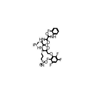 CC(C)C[C@H](NC(=O)C(=O)Nc1ccccc1F)C(=O)N[C@@H](CCC[SH](=O)=O)C(=O)COc1c(F)c(F)cc(F)c1F